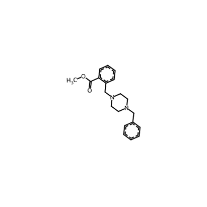 COC(=O)c1ccccc1CN1CCN(Cc2ccccc2)CC1